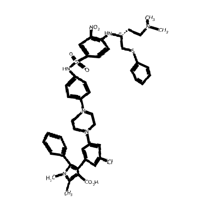 Cc1c(C(=O)O)c(-c2cc(Cl)cc(N3CCN(c4ccc(NS(=O)(=O)c5ccc(N[C@H](CCN(C)C)CSc6ccccc6)c([N+](=O)[O-])c5)cc4)CC3)c2)c(-c2ccccc2)n1C